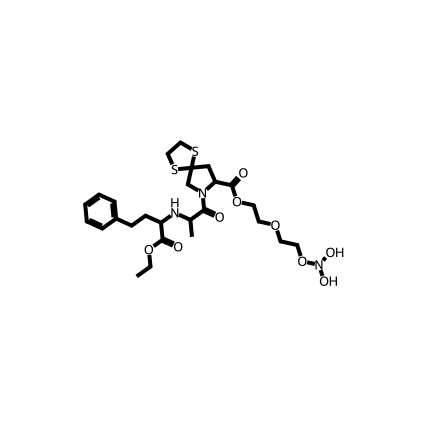 CCOC(=O)C(CCc1ccccc1)NC(C)C(=O)N1CC2(CC1C(=O)OCCOCCON(O)O)SCCS2